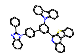 c1ccc(-c2nc3ccccc3n2-c2ccc(-c3cc(-c4nc5ccccc5c5c4sc4ccccc45)cc(-n4c5ccccc5c5ccccc54)c3)cc2)cc1